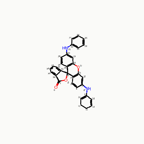 O=C1OC2(c3ccc(NC4=CCCC=C4)cc3Oc3cc(Nc4ccccc4)ccc32)c2ccccc21